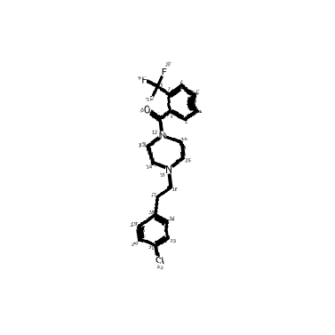 O=C(c1ccccc1C(F)(F)F)N1CCN(CCc2ccc(Cl)cc2)CC1